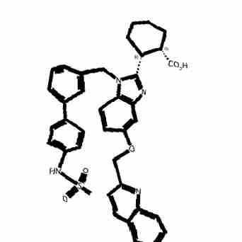 CS(=O)(=O)Nc1ccc(-c2cccc(Cn3c([C@@H]4CCCC[C@@H]4C(=O)O)nc4cc(OCc5ccc6ccccc6n5)ccc43)c2)cc1